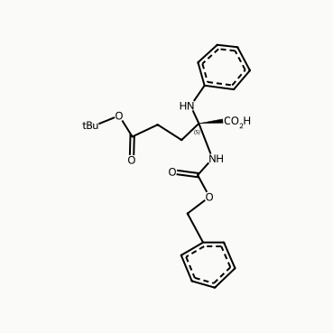 CC(C)(C)OC(=O)CC[C@@](NC(=O)OCc1ccccc1)(Nc1ccccc1)C(=O)O